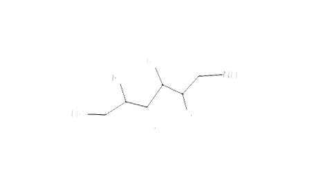 NCC(O)C(O)[C@H](O)C(O)CO